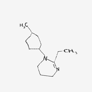 CCC1=NCCCN1C1CCC(C)CC1